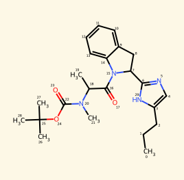 CCCc1cnc(C2Cc3ccccc3N2C(=O)C(C)N(C)C(=O)OC(C)(C)C)[nH]1